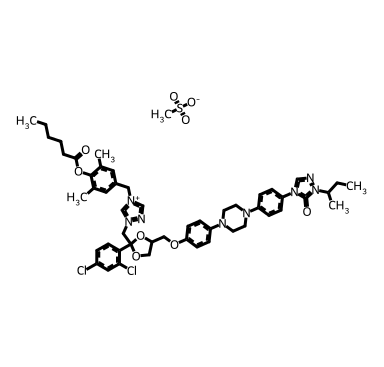 CCCCCC(=O)Oc1c(C)cc(C[n+]2cnn(CC3(c4ccc(Cl)cc4Cl)OCC(COc4ccc(N5CCN(c6ccc(-n7cnn(C(C)CC)c7=O)cc6)CC5)cc4)O3)c2)cc1C.CS(=O)(=O)[O-]